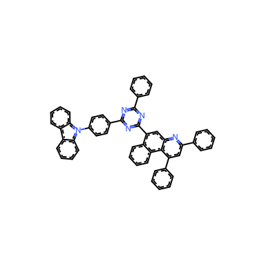 c1ccc(-c2cc(-c3ccccc3)c3c(cc(-c4nc(-c5ccccc5)nc(-c5ccc(-n6c7ccccc7c7ccccc76)cc5)n4)c4ccccc43)n2)cc1